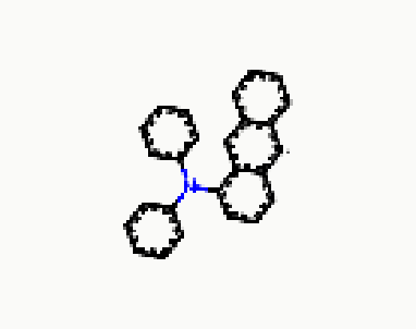 [c]1c2ccccc2cc2c(N(c3ccccc3)c3ccccc3)cccc12